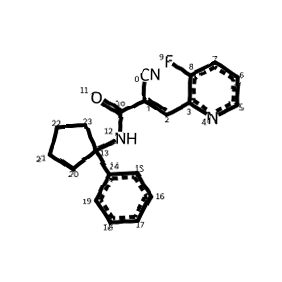 N#CC(=Cc1ncccc1F)C(=O)NC1(c2ccccc2)CCCC1